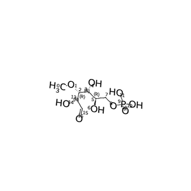 CO[C@H]([C@H](O)[C@H](O)COP(=O)(O)O)[C@@H](O)C=O